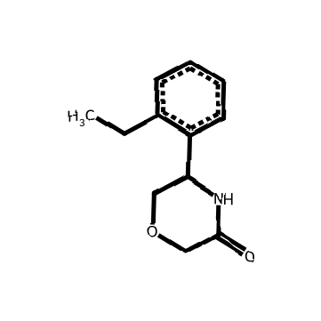 CCc1ccccc1C1COCC(=O)N1